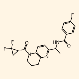 CC(NC(=O)c1ccc(F)cc1)c1ccc2c(n1)CCCN2C(=O)[C@@H]1CC1(F)F